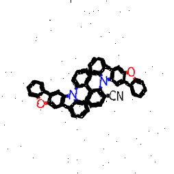 N#Cc1cccc(-c2ccccc2-n2c3ccccc3c3cc4oc5ccccc5c4cc32)c1-n1c2ccccc2c2cc3oc4ccccc4c3cc21